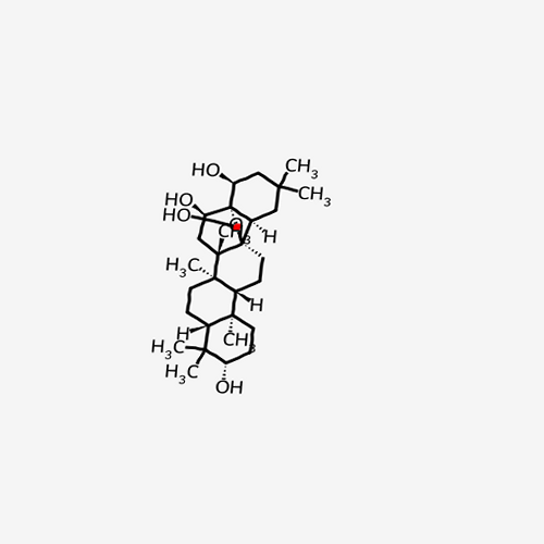 CC1(C)C[C@@H]2[C@]3(C(O)O[C@@]24CC[C@@H]2[C@@]5(C)CC[C@H](O)C(C)(C)[C@@H]5CC[C@@]2(C)[C@]4(C)C[C@H]3O)[C@@H](O)C1